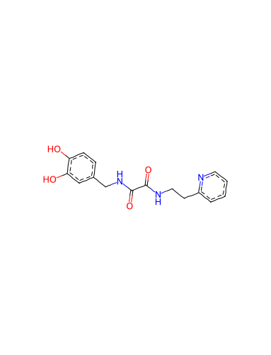 O=C(NCCc1ccccn1)C(=O)NCc1ccc(O)c(O)c1